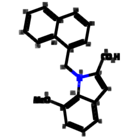 COc1cccc2cc(C(=O)O)n(Cc3cccc4ccccc34)c12